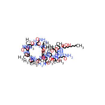 CCCCCCCC(O)CC(=O)NC(CC(C)C)C(=O)NC(CCC(C)=O)C(=O)NC(CCC(N)=O)C(=O)NC(C(=O)NC(CC(C)C)C(=O)NC(CCC(N)=O)C(=O)NC1COC(=O)C(C(C)CC)NC(=O)C(CCC(N)=O)NC(=O)C(CC(C)C)NC(=O)C(CCC(N)=O)NC(=O)C(CC(C)C)NC(=O)C(CC(C)C)NC(=O)C(C(C)C)NC1=O)C(C)C